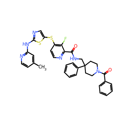 Cc1ccnc(Nc2ncc(Sc3ccnc(C(=O)NCC4(c5ccccc5)CCN(C(=O)c5ccccc5)CC4)c3F)s2)c1